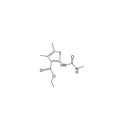 CCOC(=O)c1c(NC(=O)NC)sc(C)c1C